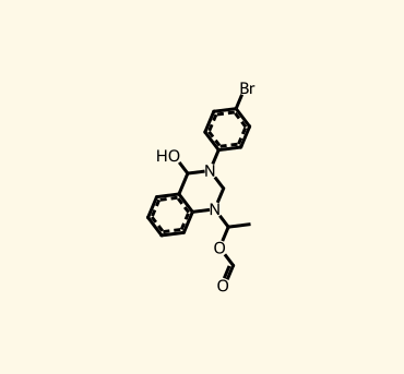 CC(OC=O)N1CN(c2ccc(Br)cc2)C(O)c2ccccc21